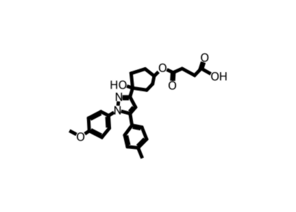 COc1ccc(-n2nc(C3(O)CCC(OC(=O)CCC(=O)O)CC3)cc2-c2ccc(C)cc2)cc1